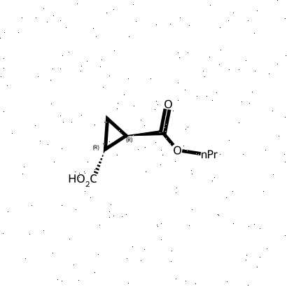 CCCOC(=O)[C@@H]1C[C@H]1C(=O)O